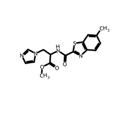 COC(=O)C(Cn1ccnc1)NC(=O)c1nc2ccc(C)cc2s1